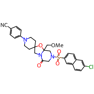 COCC12CN(S(=O)(=O)c3ccc4cc(Cl)ccc4c3)CC(=O)N1CC1(CCN(c3ccc(C#N)cc3)CC1)O2